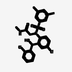 CNC(=O)CN(c1ccc(Cl)cc1C(O)c1ccccc1Cl)S(=O)(=O)c1cc(C)cc(C)c1